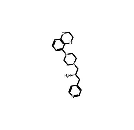 N[C@H](Cc1ccncc1)CN1CCN(c2cccc3c2OCCO3)CC1